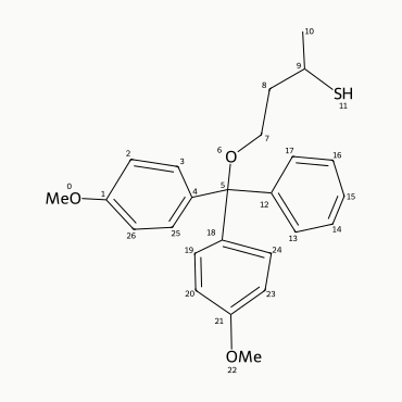 COc1ccc(C(OCCC(C)S)(c2ccccc2)c2ccc(OC)cc2)cc1